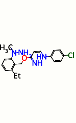 CCc1cccc(N(C)N)c1COC(=N)/C=C\Nc1ccc(Cl)cc1